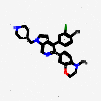 CN1CCOc2cc(-c3ncc4c(ccn4CC4CCNCC4)c3-c3ccc(C#N)c(F)c3)ccc21